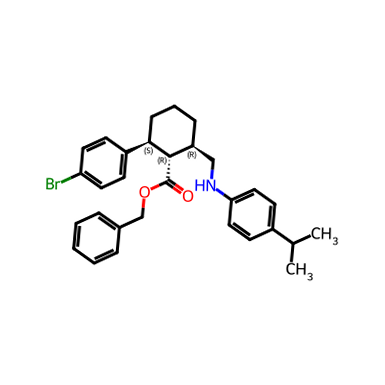 CC(C)c1ccc(NC[C@@H]2CCC[C@H](c3ccc(Br)cc3)[C@H]2C(=O)OCc2ccccc2)cc1